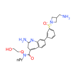 CCCN(OCCO)C(=O)C1=Cc2ccc(-c3cccc([S+]([O-])N4CC(CN)C4)c3)cc2N=C(N)C1